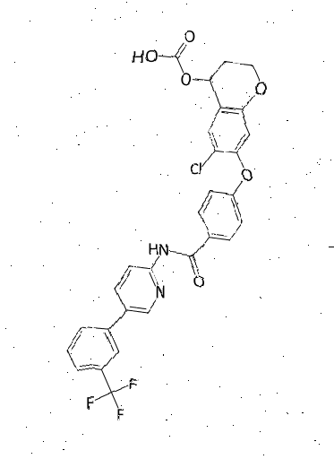 O=C(O)OC1CCOc2cc(Oc3ccc(C(=O)Nc4ccc(-c5cccc(C(F)(F)F)c5)cn4)cc3)c(Cl)cc21